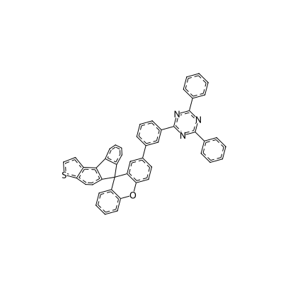 c1ccc(-c2nc(-c3ccccc3)nc(-c3cccc(-c4ccc5c(c4)C4(c6ccccc6O5)c5ccccc5-c5c4ccc4sccc54)c3)n2)cc1